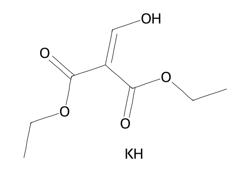 CCOC(=O)C(=CO)C(=O)OCC.[KH]